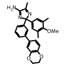 COc1c(C)cc(C2(c3cccc(-c4ccc5c(c4)OCCO5)c3)N=C(C)C(N)=N2)cc1C